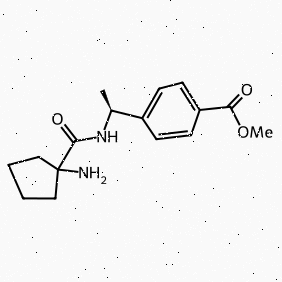 COC(=O)c1ccc([C@H](C)NC(=O)C2(N)CCCC2)cc1